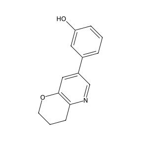 Oc1cccc(-c2cnc3c(c2)OCCC3)c1